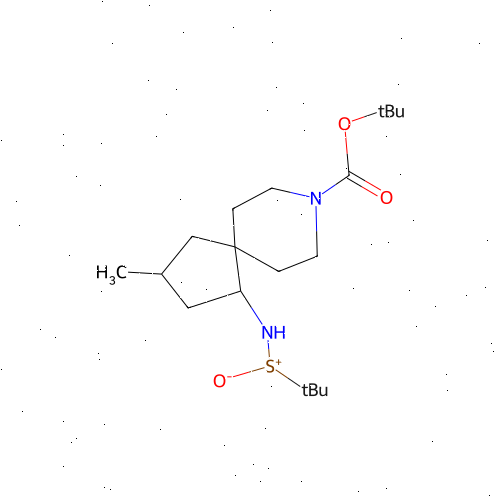 CC1CC(N[S+]([O-])C(C)(C)C)C2(CCN(C(=O)OC(C)(C)C)CC2)C1